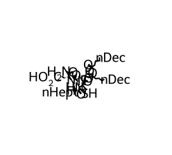 CCCCCCCCCCCCCC(=O)OC[C@@H](CN(C(=O)C(CS)NC(=O)CCCCCCC)[C@@H](C)C(=O)N[C@H](CCC(=O)O)C(N)=O)OC(=O)CCCCCCCCCCCCC